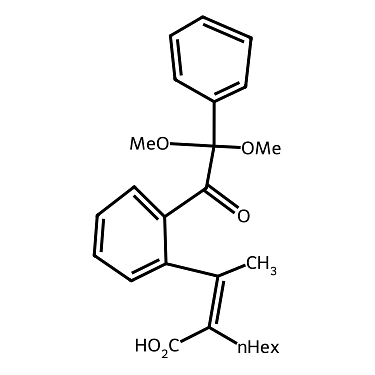 CCCCCCC(C(=O)O)=C(C)c1ccccc1C(=O)C(OC)(OC)c1ccccc1